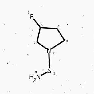 NSN1CCC(F)C1